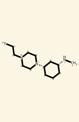 CN[C@@H]1CCC[C@H](N2CCN(CCF)CC2)C1